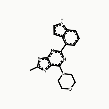 Cc1nc2c(N3CCOCC3)nc(-c3cccc4[nH]ccc34)nc2s1